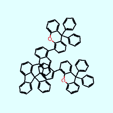 c1ccc(C2(c3ccccc3)c3ccccc3Oc3c(-c4cccc5c(-c6cccc7c6C(c6ccccc6)(c6ccccc6)c6ccccc6-7)c6cccc(-c7cccc8c7Oc7ccccc7C8(c7ccccc7)c7ccccc7)c6cc45)cccc32)cc1